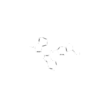 Cn1cc(-c2nc3cnccn3c2Nc2ccc3c(c2)CCC3=N)c2ccccc21